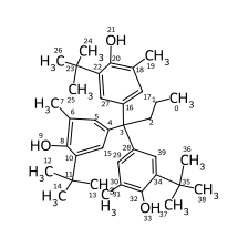 CCCC(c1cc(C)c(O)c(C(C)(C)C)c1)(c1cc(C)c(O)c(C(C)(C)C)c1)c1cc(C)c(O)c(C(C)(C)C)c1